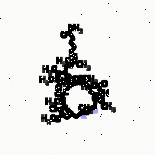 COc1cc2cc(c1Cl)N(C)C(=O)C[C@H](OC(=O)[C@H](C)N(C)C(=O)CCC(C)(C)SSCCCC(N)=O)C(C)(C)[C@](C)(N)[C@H](C)[C@@H]1C[C@@](O)(NC(=O)O1)[C@H](OC)/C=C/C=C(\C)C2